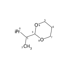 CC(C)C(C)C1OCCCO1